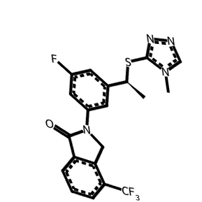 C[C@H](Sc1nncn1C)c1cc(F)cc(N2Cc3c(cccc3C(F)(F)F)C2=O)c1